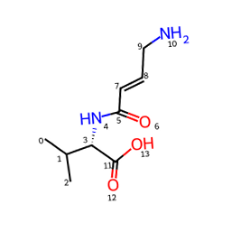 CC(C)[C@H](NC(=O)C=CCN)C(=O)O